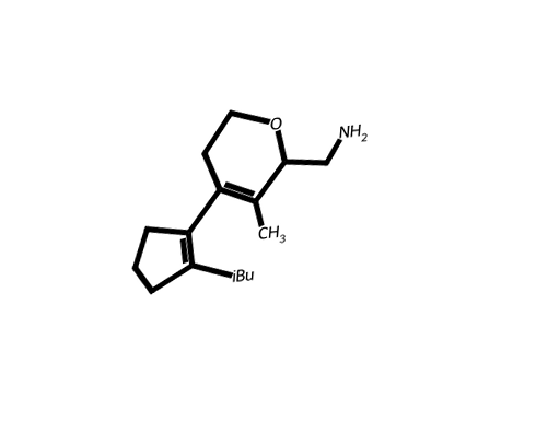 CCC(C)C1=C(C2=C(C)C(CN)OCC2)CCC1